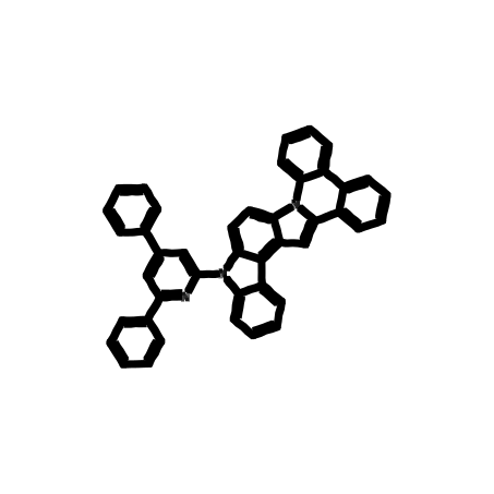 c1ccc(-c2cc(-c3ccccc3)nc(-n3c4ccccc4c4c5cc6c7ccccc7c7ccccc7n6c5ccc43)c2)cc1